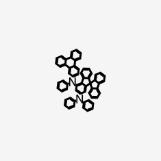 c1ccc(N(c2ccccc2)c2cc(N(c3ccccc3)c3ccc4c5ccccc5c5ccccc5c4c3)c3c(c2)C2(c4ccccc4-c4ccccc42)c2ccccc2-3)cc1